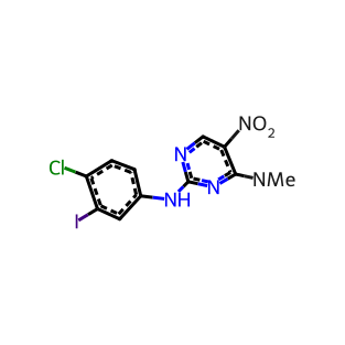 CNc1nc(Nc2ccc(Cl)c(I)c2)ncc1[N+](=O)[O-]